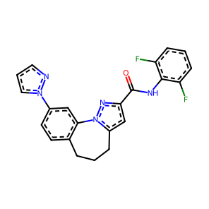 O=C(Nc1c(F)cccc1F)c1cc2n(n1)-c1cc(-n3cccn3)ccc1CCC2